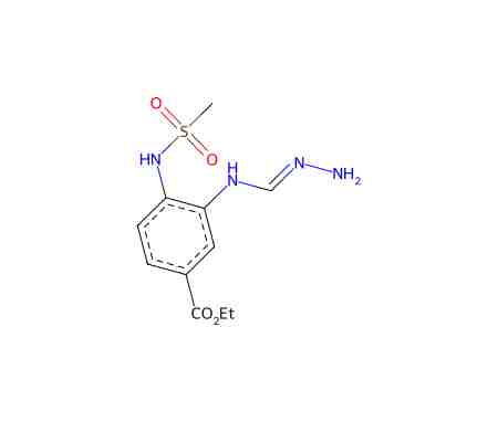 CCOC(=O)c1ccc(NS(C)(=O)=O)c(NC=NN)c1